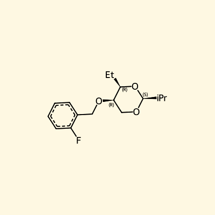 CC[C@H]1O[C@@H](C(C)C)OC[C@H]1OCc1ccccc1F